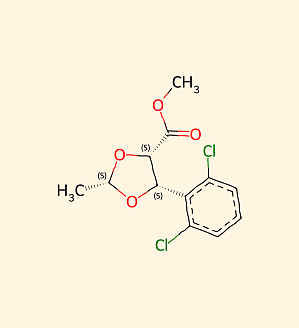 COC(=O)[C@H]1O[C@@H](C)O[C@H]1c1c(Cl)cccc1Cl